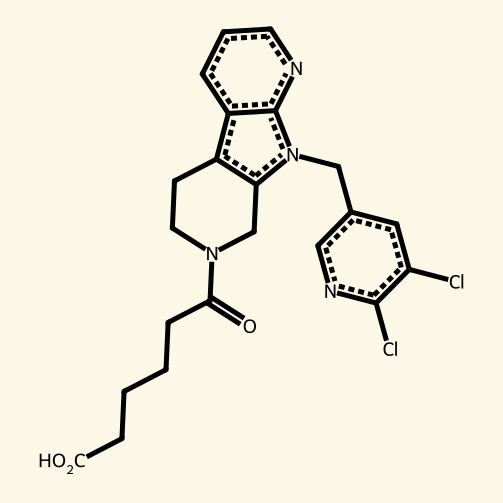 O=C(O)CCCCC(=O)N1CCc2c(n(Cc3cnc(Cl)c(Cl)c3)c3ncccc23)C1